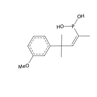 COc1cccc(C(C)(C)/C=C(/C)P(O)O)c1